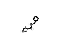 c1ccc(CN[C@H]2O[C@@H]2[C@@H]2CNCS2)cc1